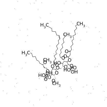 CCCCCC/C=C\CCCCCCCCCC(=O)O[C@H]1[C@H](OC[C@H]2O[C@H](OP(=O)(O)O)[C@H](OC(=O)CC(=O)CCCCCCCCCCC)[C@@H](OCCCCCCCCCC)[C@@H]2O)O[C@H](COC)[C@@H](OP(=O)(O)O)[C@@H]1OCC[C@@H](CCCCCCC)OC